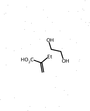 C=C(CC)C(=O)O.OCCO